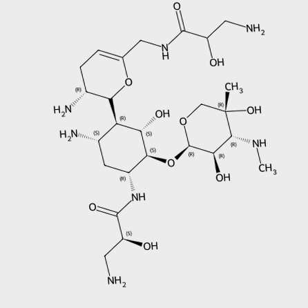 CN[C@@H]1[C@@H](O)[C@@H](O[C@@H]2[C@@H](O)[C@H](C3OC(CNC(=O)C(O)CN)=CC[C@H]3N)[C@@H](N)C[C@H]2NC(=O)[C@@H](O)CN)OC[C@]1(C)O